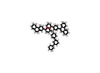 c1ccc(-c2cccc(-c3ccc(N(c4ccc(-c5ccc6c(ccc7ccccc76)c5)cc4)c4cc(-c5cc6ccccc6c6ccccc56)ccc4-c4ccccc4)cc3)c2)cc1